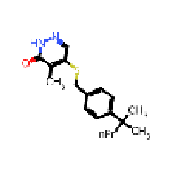 CCCC(C)(C)c1ccc(CSc2cn[nH]c(=O)c2C)cc1